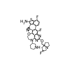 N#Cc1c(N)sc2c(F)ccc(-c3c(Cl)c4c5c(nc(OC[C@@]67CCCN6C[C@H](F)C7)nc5c3F)N(C3CCCNC3)CCO4)c12